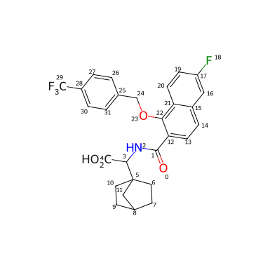 O=C(NC(C(=O)O)C12CCC(CC1)C2)c1ccc2cc(F)ccc2c1OCc1ccc(C(F)(F)F)cc1